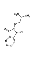 NC(N)CON1C(=O)c2ccccc2C1=O